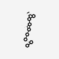 CC1(C)c2cc(-c3ccc(-c4cccc(-n5c6ccccc6c6ccccc65)c4)cc3)ccc2-c2ccc(-c3ccc4c(c3)c3ccccc3c3nccnc43)cc21